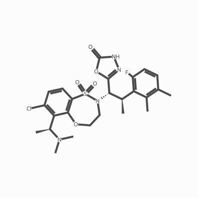 Cc1ccc(F)c([C@@H](C)[C@@H](c2n[nH]c(=O)o2)N2CCOc3c(ccc(Cl)c3[C@H](C)N(C)C)S2(=O)=O)c1C